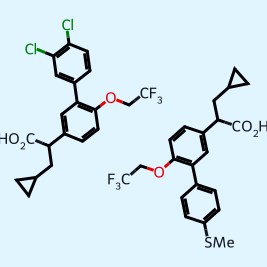 CSc1ccc(-c2cc(C(CC3CC3)C(=O)O)ccc2OCC(F)(F)F)cc1.O=C(O)C(CC1CC1)c1ccc(OCC(F)(F)F)c(-c2ccc(Cl)c(Cl)c2)c1